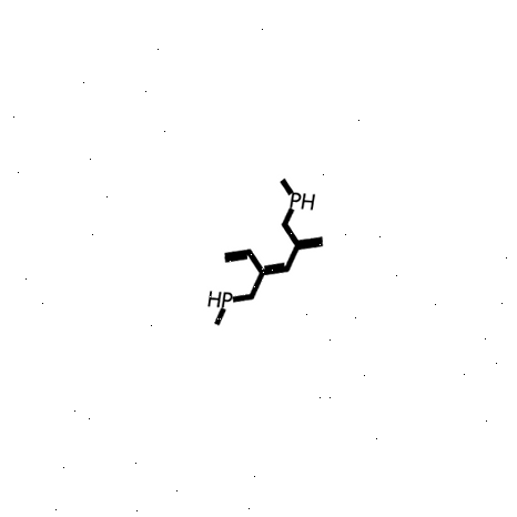 C=C/C(=C\C(=C)CPC)CPC